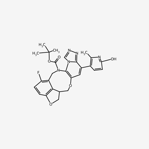 Cc1nc(O)ccc1-c1cc2c(n3cnnc13)N(C(=O)OC(C)(C)C)Cc1c(F)ccc3c1C(CO3)CO2